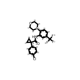 O=C(Nc1cc(C(F)(F)F)ccc1N1CCOCC1)C1(c2ccc(Cl)cc2)CC1